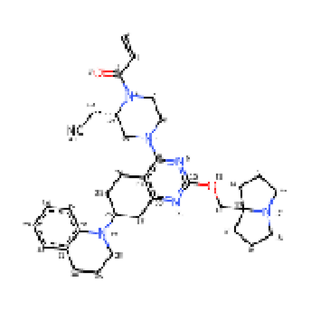 C=CC(=O)N1CCN(c2nc(OCC34CCCN3CCC4)nc3c2CCC(N2CCCc4ccccc42)C3)C[C@@H]1CC#N